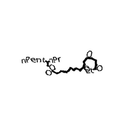 CCCCCC(CCC)COC(=O)CCCCCCCC1OC1CC1OC1CC1OC1CC